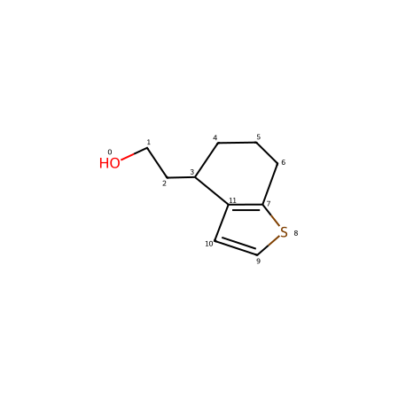 OCCC1CCCc2sccc21